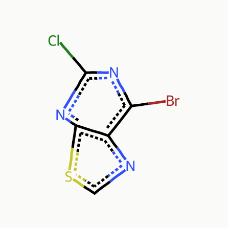 Clc1nc(Br)c2ncsc2n1